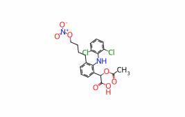 CC(=O)OC(C(=O)O)c1cccc(CCCCO[N+](=O)[O-])c1Nc1c(Cl)cccc1Cl